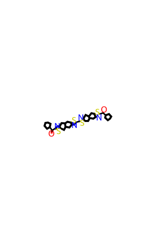 O=C(c1ccccc1)c1nc2cc3cc4sc(-c5nc6cc7cc8sc(C(=O)c9ccccc9)nc8cc7cc6s5)nc4cc3cc2s1